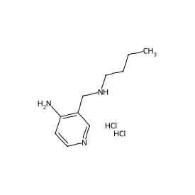 CCCCNCc1cnccc1N.Cl.Cl